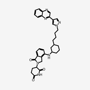 O=C1CCC(N2Cc3c(NC4CCCC(CCCCn5cc(-c6cnc7ccccc7n6)cn5)C4)cccc3C2=O)C(=O)N1